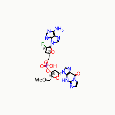 COC[C@H]1O[C@@H](n2cnc3c(=O)n4ccnc4[nH]c32)C[C@@H]1OP(=O)(O)OC[C@@H]1C[C@@H](F)[C@H](n2cnc3c(N)ncnc32)O1